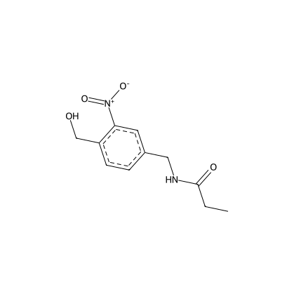 CCC(=O)NCc1ccc(CO)c([N+](=O)[O-])c1